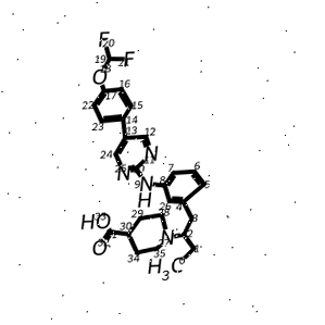 CCC(Cc1cccc(Nc2ncc(-c3ccc(OC(F)F)cc3)cn2)c1)N1CCC(C(=O)O)CC1